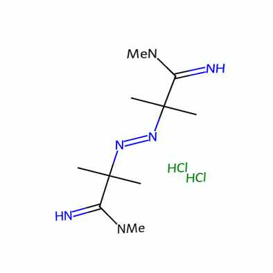 CNC(=N)C(C)(C)N=NC(C)(C)C(=N)NC.Cl.Cl